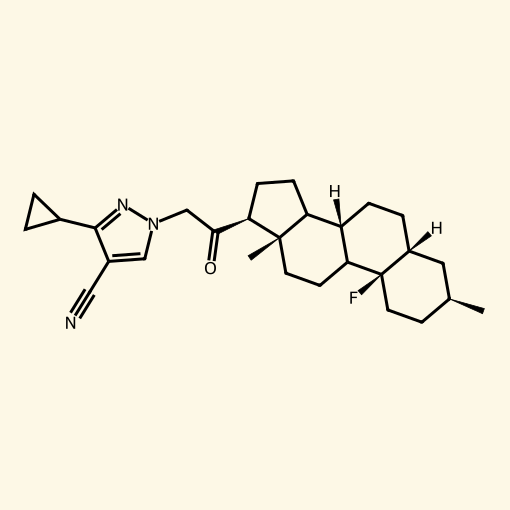 C[C@H]1CC[C@]2(F)C3CC[C@@]4(C)C(CC[C@@H]4C(=O)Cn4cc(C#N)c(C5CC5)n4)[C@@H]3CC[C@@H]2C1